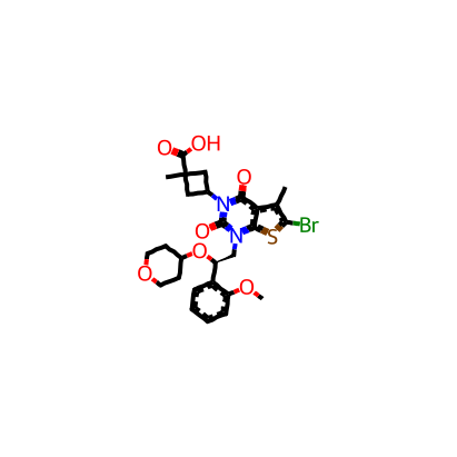 COc1ccccc1[C@H](Cn1c(=O)n(C2CC(C)(C(=O)O)C2)c(=O)c2c(C)c(Br)sc21)OC1CCOCC1